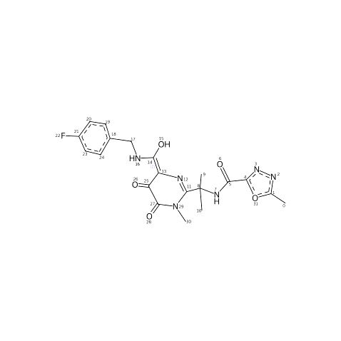 Cc1nnc(C(=O)NC(C)(C)C2=N/C(=C(\O)NCc3ccc(F)cc3)C(=O)C(=O)N2C)o1